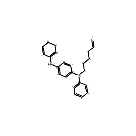 O=CCCCCN(c1ccccc1)c1ccc(NC2=CCCC=C2)cc1